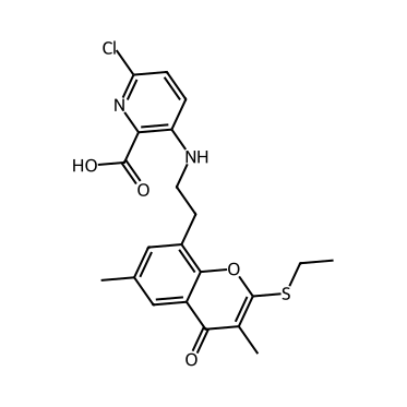 CCSc1oc2c(CCNc3ccc(Cl)nc3C(=O)O)cc(C)cc2c(=O)c1C